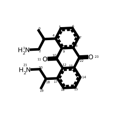 CC(CN)c1cccc2c1C(=O)c1c(cccc1C(C)CN)C2=O